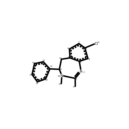 CC1=Nc2cc(Cl)ccc2CC(c2ccccc2)N1C